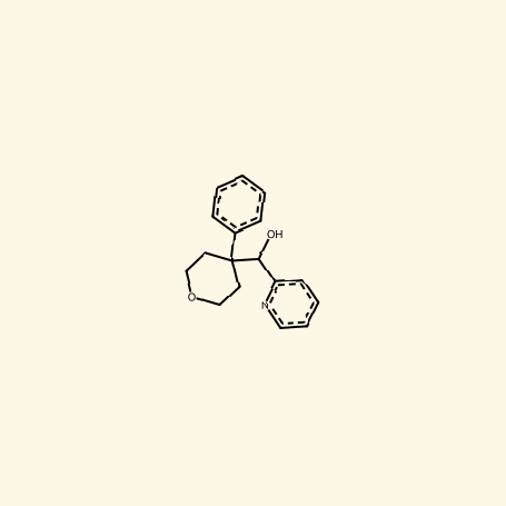 OC(c1ccccn1)C1(c2ccccc2)CCOCC1